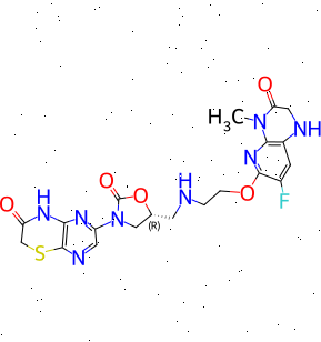 CN1C(=O)CNc2cc(F)c(OCCNC[C@@H]3CN(c4cnc5c(n4)NC(=O)CS5)C(=O)O3)nc21